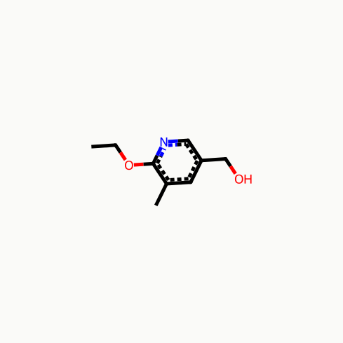 CCOc1ncc(CO)cc1C